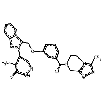 O=C(c1cccc(OCc2c3ccccc3cn2-c2cn[nH]c(=O)c2C(F)(F)F)c1)N1CCn2c(nnc2C(F)(F)F)C1